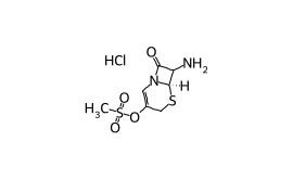 CS(=O)(=O)OC1=CN2C(=O)C(N)[C@H]2SC1.Cl